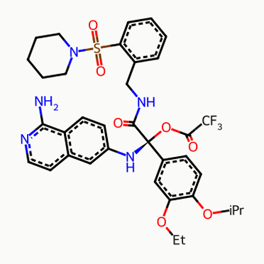 CCOc1cc([C@@](Nc2ccc3c(N)nccc3c2)(OC(=O)C(F)(F)F)C(=O)NCc2ccccc2S(=O)(=O)N2CCCCC2)ccc1OC(C)C